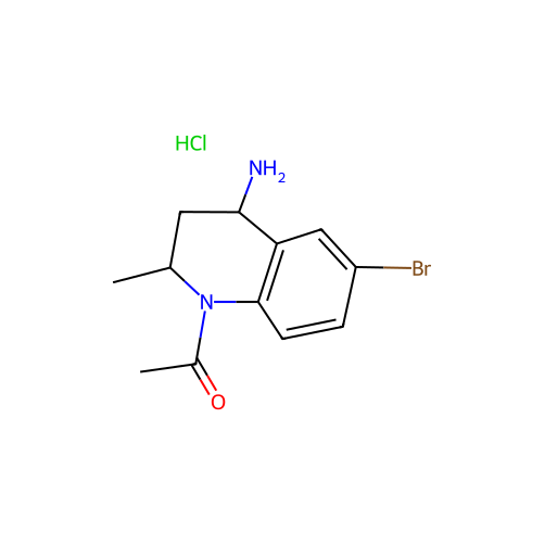 CC(=O)N1c2ccc(Br)cc2C(N)CC1C.Cl